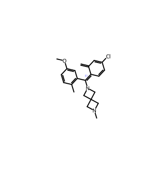 C=c1cc(Cl)cc/c1=C(/c1cc(OC)ccc1C)N1CC2(CN(C)C2)C1